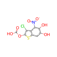 O=C(O)Oc1sc2cc(O)c(O)c([N+](=O)[O-])c2c1Cl